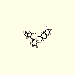 COc1cc2[nH]ncc2cc1Nc1nc(N2C3CNCC2C3)ncc1Cl